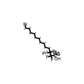 CC(C)C(CCCCCCCCCCBr)(C(C)C)C(F)(F)P(=O)(O)O